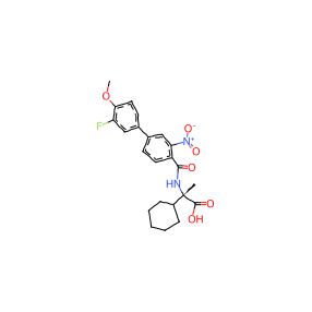 COc1ccc(-c2ccc(C(=O)N[C@](C)(C(=O)O)C3CCCCC3)c([N+](=O)[O-])c2)cc1F